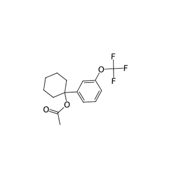 CC(=O)OC1(c2cccc(OC(F)(F)F)c2)CCCCC1